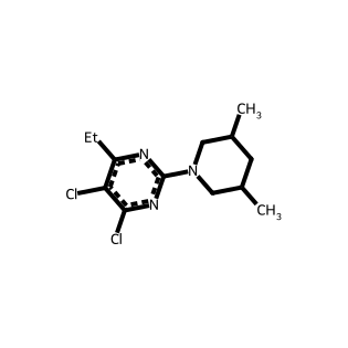 CCc1nc(N2CC(C)CC(C)C2)nc(Cl)c1Cl